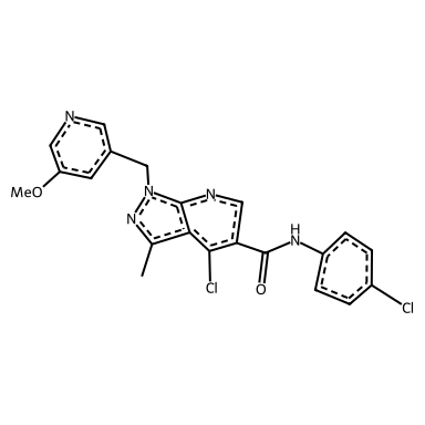 COc1cncc(Cn2nc(C)c3c(Cl)c(C(=O)Nc4ccc(Cl)cc4)cnc32)c1